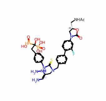 CC(=O)NC[C@H]1CN(c2ccc(-c3ccc(CN(C/C(=C/N)NN)C(=S)Nc4ccc(CC(O)([PH](=O)O)P(=O)(O)O)cc4)cc3)c(F)c2)C(=O)O1